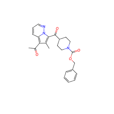 CC(=O)c1c(C)c(C(=O)C2CCN(C(=O)OCc3ccccc3)CC2)n2ncccc12